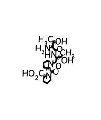 C[C@@H](O)[C@H](N)C(=O)N[C@H](C(=O)N1CCC[C@H]1C(=O)N1CCC[C@H]1C(=O)O)[C@@H](C)O